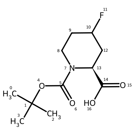 CC(C)(C)OC(=O)N1CCC(F)C[C@H]1C(=O)O